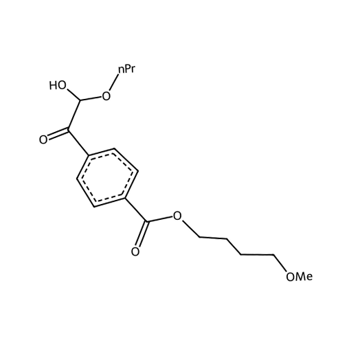 CCCOC(O)C(=O)c1ccc(C(=O)OCCCCOC)cc1